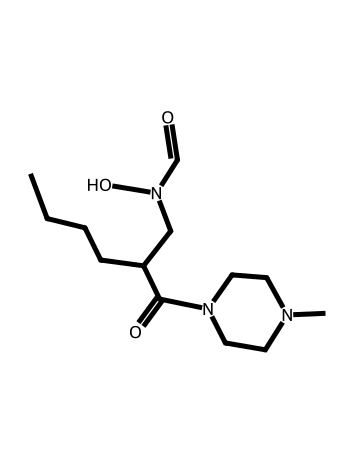 CCCCC(CN(O)C=O)C(=O)N1CCN(C)CC1